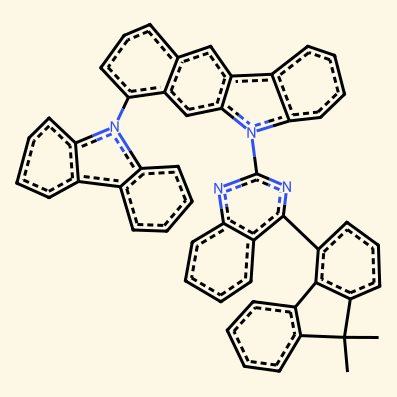 CC1(C)c2ccccc2-c2c(-c3nc(-n4c5ccccc5c5cc6cccc(-n7c8ccccc8c8ccccc87)c6cc54)nc4ccccc34)cccc21